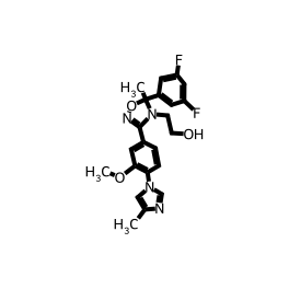 COc1cc(C2=NOC(C)(c3cc(F)cc(F)c3)N2CCO)ccc1-n1cnc(C)c1